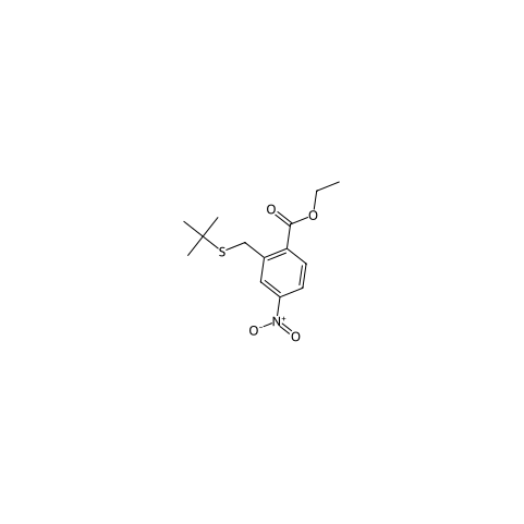 CCOC(=O)c1ccc([N+](=O)[O-])cc1CSC(C)(C)C